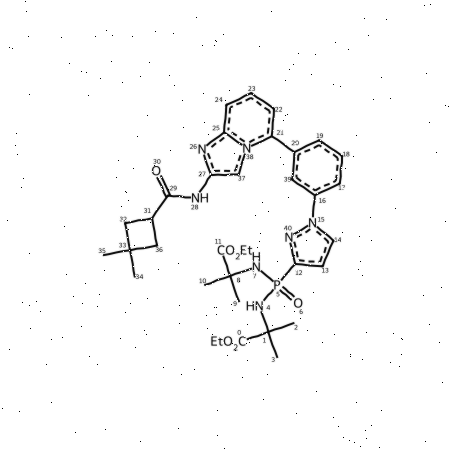 CCOC(=O)C(C)(C)NP(=O)(NC(C)(C)C(=O)OCC)c1ccn(-c2cccc(-c3cccc4nc(NC(=O)C5CC(C)(C)C5)cn34)c2)n1